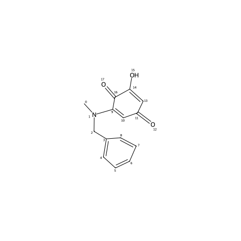 CN(Cc1ccccc1)C1=CC(=O)C=C(O)C1=O